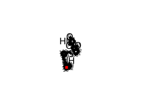 O=C1CCC(N2Cc3c(SCc4cccc(CNCC56CC7CC(CC(C7)C5)C6)c4)cccc3C2=O)C(=O)N1